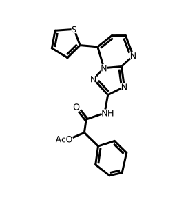 CC(=O)OC(C(=O)Nc1nc2nccc(-c3cccs3)n2n1)c1ccccc1